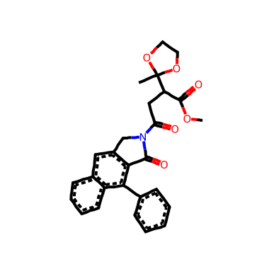 COC(=O)C(CC(=O)N1Cc2cc3ccccc3c(-c3ccccc3)c2C1=O)C1(C)OCCO1